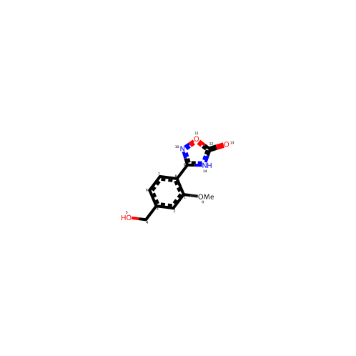 COc1cc(CO)ccc1-c1noc(=O)[nH]1